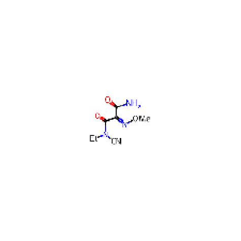 CCN(C#N)C(=O)C(=NOC)C(N)=O